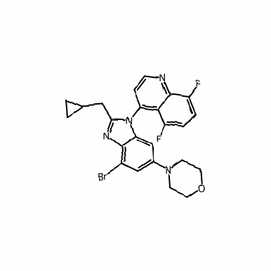 Fc1ccc(F)c2c(-n3c(CC4CC4)nc4c(Br)cc(N5CCOCC5)cc43)ccnc12